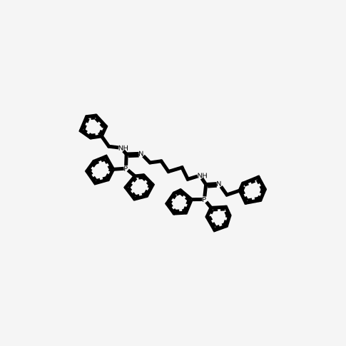 c1ccc(C/N=C(/NCCCCC/N=C(/NCc2ccccc2)P(c2ccccc2)c2ccccc2)P(c2ccccc2)c2ccccc2)cc1